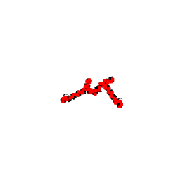 c1ccc(-c2ccc3c(c2)c2cc(-c4cccc(-c5ccc(-c6ccc7c8ccc(-c9ccccc9)cc8n(-c8ccc(-c9ccc(-c%10ccc(-c%11ccc%12c(c%11)sc%11ccccc%11%12)cc%10)cc9)cc8)c7c6)cc5)c4)ccc2n3-c2ccc(-c3ccc(-c4ccc(-c5ccc6c(c5)sc5ccccc56)cc4)cc3)cc2)cc1